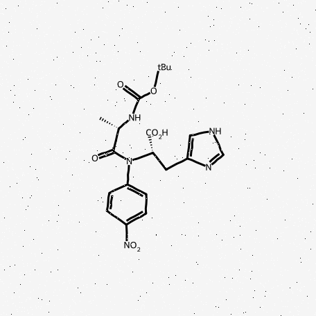 C[C@H](NC(=O)OC(C)(C)C)C(=O)N(c1ccc([N+](=O)[O-])cc1)[C@@H](Cc1c[nH]cn1)C(=O)O